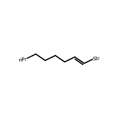 CCCCCCC/C=[CH]/[Sb]